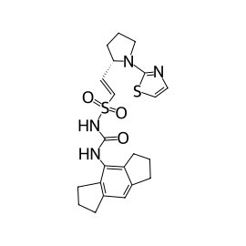 O=C(Nc1c2c(cc3c1CCC3)CCC2)NS(=O)(=O)/C=C/[C@@H]1CCCN1c1nccs1